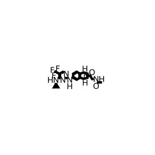 CC(=O)NCC(=O)N1[C@@H]2CC[C@H]1c1ccc(Nc3ncc(C(F)(F)F)c(NC4CC4)n3)cc12